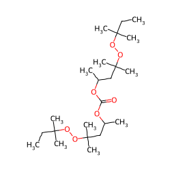 CCC(C)(C)OOC(C)(C)CC(C)OC(=O)OC(C)CC(C)(C)OOC(C)(C)CC